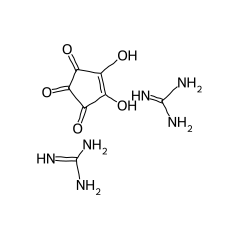 N=C(N)N.N=C(N)N.O=c1c(O)c(O)c(=O)c1=O